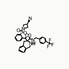 N#CC1CN(S(=O)(=O)c2ccccc2C(=O)C2(C(=O)NCc3ccc(C(F)(F)F)cc3)Cc3ccccc3CN2)C1